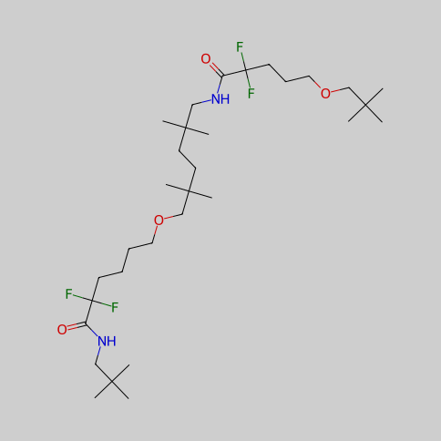 CC(C)(C)CNC(=O)C(F)(F)CCCCOCC(C)(C)CCC(C)(C)CNC(=O)C(F)(F)CCCOCC(C)(C)C